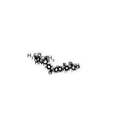 Cc1c(N[C@@H]2C[C@H](c3ccc(C(=O)N4CCC5(CC4)CCN(c4ccc(C6CCC(=O)NC6=O)cc4F)CC5)cc3)CN(C)C2)cnn(C)c1=O